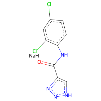 O=C(Nc1ccc(Cl)cc1Cl)c1c[nH]nn1.[NaH]